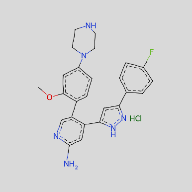 COc1cc(N2CCNCC2)ccc1-c1cnc(N)cc1-c1cc(-c2ccc(F)cc2)n[nH]1.Cl